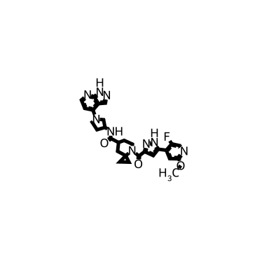 COc1cc(-c2cc(C(=O)N3CCC(C(=O)NC4CCN(c5ccnc6[nH]ncc56)C4)CC34CC4)n[nH]2)c(F)cn1